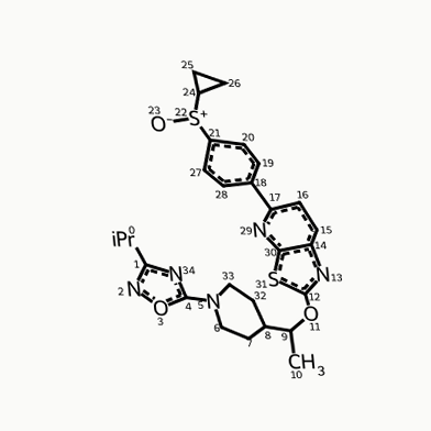 CC(C)c1noc(N2CCC(C(C)Oc3nc4ccc(-c5ccc([S+]([O-])C6CC6)cc5)nc4s3)CC2)n1